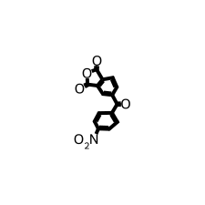 O=C(c1ccc([N+](=O)[O-])cc1)c1ccc2c(c1)C(=O)OC2=O